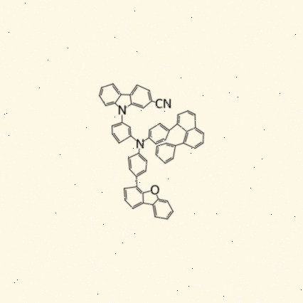 N#Cc1ccc2c3ccccc3n(-c3cccc(N(c4ccc(-c5cccc6c5oc5ccccc56)cc4)c4ccc(-c5cccc6cccc(-c7ccccc7)c56)cc4)c3)c2c1